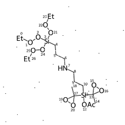 CCOO[Si](CCCNCCC[Si](OC(C)=O)(C1(C)OO1)C1(C)OO1)(OOCC)OOCC